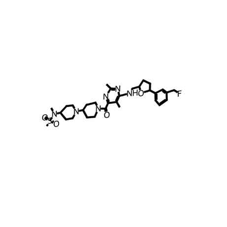 Cc1nc(NCC2CCC(c3cccc(CF)c3)O2)c(C)c(C(=O)N2CCC(N3CCC(N(C)S(C)(=O)=O)CC3)CC2)n1